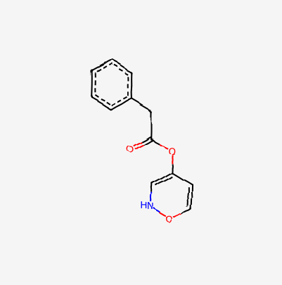 O=C(Cc1ccccc1)OC1=CNOC=C1